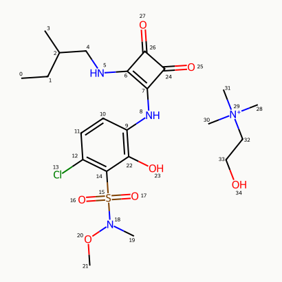 CCC(C)CNc1c(Nc2ccc(Cl)c(S(=O)(=O)N(C)OC)c2O)c(=O)c1=O.C[N+](C)(C)CCO